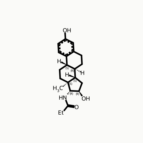 CCC(=O)N[C@H]1[C@H](O)C[C@H]2[C@@H]3CCc4cc(O)ccc4[C@H]3CC[C@@]21C